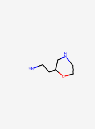 [NH]CCC1CNCCO1